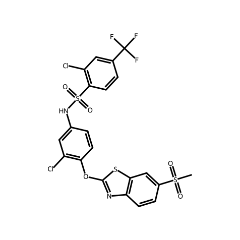 CS(=O)(=O)c1ccc2nc(Oc3ccc(NS(=O)(=O)c4ccc(C(F)(F)F)cc4Cl)cc3Cl)sc2c1